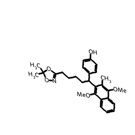 COc1c(C)c(C(CCCCC2=NOC(C)(C)O2)c2ccc(O)cc2)c(OC)c2ccccc12